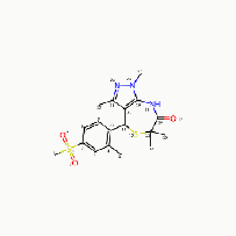 Cc1cc(S(C)(=O)=O)ccc1C1SC(C)(C)C(=O)Nc2c1c(C)nn2C